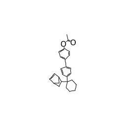 CC(=O)Oc1ccc(-c2ccc(C3(C4CC5C=CC4C5)CCCCC3)cc2)cc1